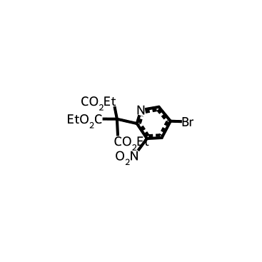 CCOC(=O)C(C(=O)OCC)(C(=O)OCC)c1ncc(Br)cc1[N+](=O)[O-]